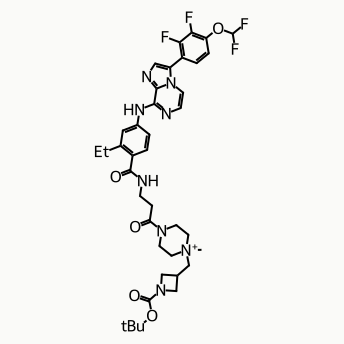 CCc1cc(Nc2nccn3c(-c4ccc(OC(F)F)c(F)c4F)cnc23)ccc1C(=O)NCCC(=O)N1CC[N+](C)(CC2CN(C(=O)OC(C)(C)C)C2)CC1